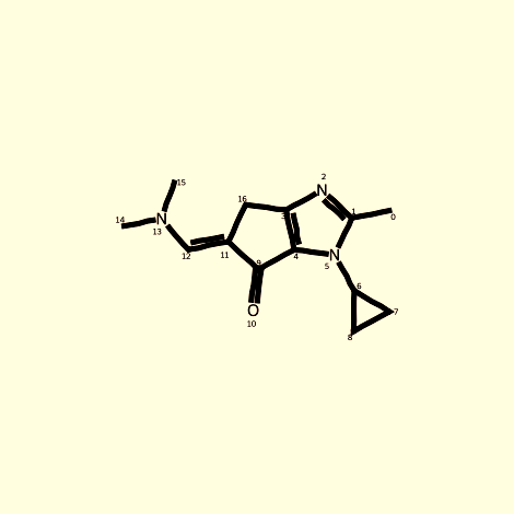 Cc1nc2c(n1C1CC1)C(=O)/C(=C/N(C)C)C2